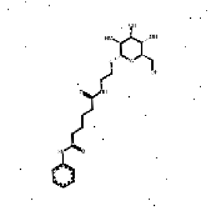 O=C(CCCCC(=O)Nc1ccccc1)NCCO[C@H]1O[C@H](CO)[C@@H](O)[C@H](O)[C@@H]1O